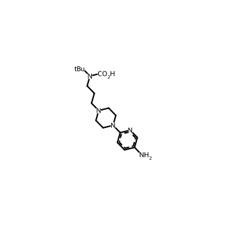 CC(C)(C)N(CCCN1CCN(c2ccc(N)cn2)CC1)C(=O)O